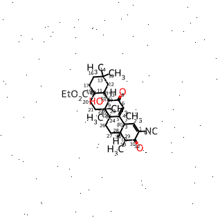 [C-]#[N+]C1=C[C@]2(C)C3=CC(=O)[C@]4(O)[C@@H]5CC(C)(C)CC[C@]5(C(=O)OCC)CC[C@@]4(C)[C@]3(C)CC[C@H]2[C@H](C)C1=O